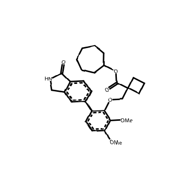 COc1ccc(-c2ccc3c(c2)CNC3=O)c(OCC2(C(=O)OC3CCCCCC3)CCC2)c1OC